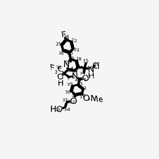 COc1cc(C(=O)NC[C@@](O)(c2cc(C(C)(C)NCl)cc(-c3ccc(F)cc3)n2)C(F)(F)F)ccc1OCCO